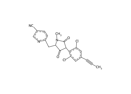 CC#Cc1cc(Cl)c(C2C(=O)C(Cc3ccc(C#N)cn3)N(C)C2=O)c(Cl)c1